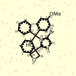 COc1ccc(C(c2ccccc2)(c2ccccc2)n2c(Br)cnc2C2(O)COC2)cc1